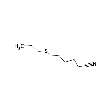 CCCSCCCCCC#N